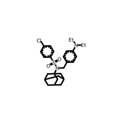 CCN(CC)c1ccc(CN(C23CC4CC(CC(C4)C2)C3)S(=O)(=O)c2ccc(Cl)cc2)cc1